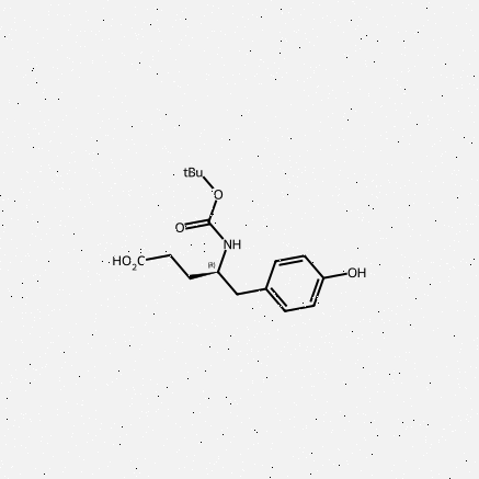 CC(C)(C)OC(=O)N[C@H](CCC(=O)O)Cc1ccc(O)cc1